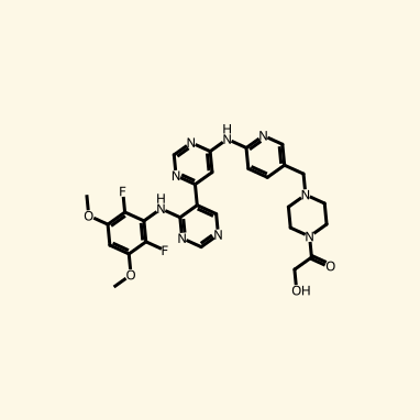 COc1cc(OC)c(F)c(Nc2ncncc2-c2cc(Nc3ccc(CN4CCN(C(=O)CO)CC4)cn3)ncn2)c1F